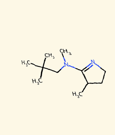 CC1CCN=C1N(C)CC(C)(C)C